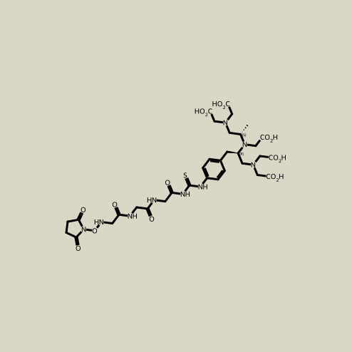 C[C@@H](CN(CC(=O)O)CC(=O)O)N(CC(=O)O)[C@H](Cc1ccc(NC(=S)NC(=O)CNC(=O)CNC(=O)CNON2C(=O)CCC2=O)cc1)CN(CC(=O)O)CC(=O)O